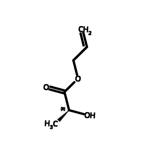 C=CCOC(=O)[C@@H](C)O